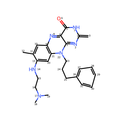 C=c1nc2c(c(=O)[nH]1)=Nc1cc(C)c(NCCN(C)C)cc1N2CCCc1ccccc1